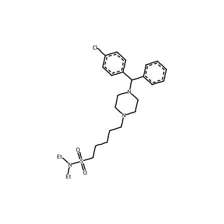 CCN(CC)S(=O)(=O)CCCCCN1CCN(C(c2ccccc2)c2ccc(Cl)cc2)CC1